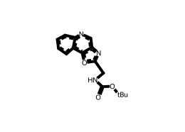 CC(C)(C)OC(=O)NCc1nc2cnc3ccccc3c2o1